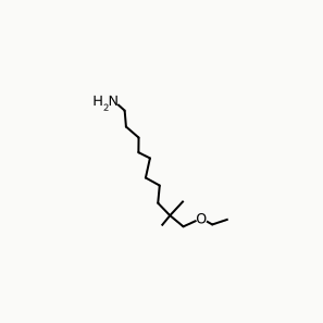 CCOCC(C)(C)CCCCCCCCN